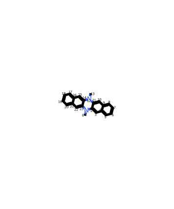 CN1c2cc3ccccc3cc2N(C)c2cc3ccccc3cc21